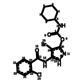 O=C(NC1CCCCC1)Oc1n[nH]c(NC(=O)c2ccccc2Cl)c1Br